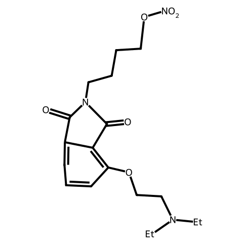 CCN(CC)CCOc1cccc2c1C(=O)N(CCCCO[N+](=O)[O-])C2=O